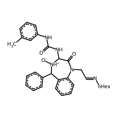 CCCCCCN=CCN1C(=O)C(NC(=O)Nc2cccc(C)c2)[NH+]([O-])C(c2ccccc2)c2ccccc21